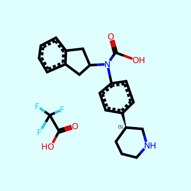 O=C(O)C(F)(F)F.O=C(O)N(c1ccc([C@@H]2CCCNC2)cc1)C1Cc2ccccc2C1